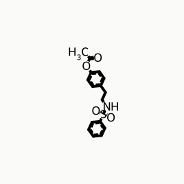 CC(=O)Oc1ccc(CCNS(=O)(=O)c2ccccc2)cc1